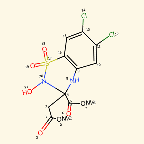 COC(=O)CC1(C(=O)OC)Nc2cc(Cl)c(Cl)cc2S(=O)(=O)N1O